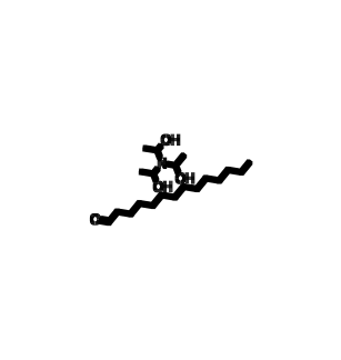 CC(O)N(C(C)O)C(C)O.CCCCCCCCCCCCCC=O